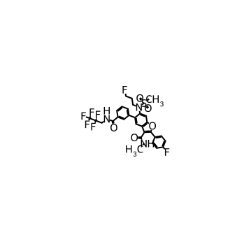 CNC(=O)c1c(-c2ccc(F)cc2)oc2cc(N(CCCF)S(C)(=O)=O)c(-c3cccc(C(=O)NCC(F)(F)C(F)(F)F)c3)cc12